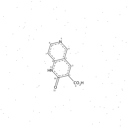 O=C(O)c1cc2cnccc2[nH]c1=O